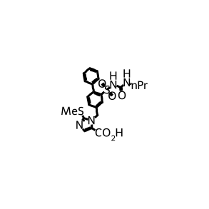 CCCNC(=O)NS(=O)(=O)c1cc(Cn2c(C(=O)O)cnc2SC)ccc1-c1ccccc1